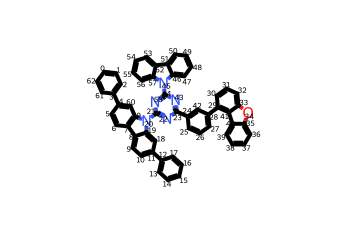 c1ccc(-c2ccc3c4ccc(-c5ccccc5)cc4n(-c4nc(-c5cccc(-c6cccc7oc8ccccc8c67)c5)nc(-n5c6ccccc6c6ccccc65)n4)c3c2)cc1